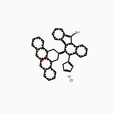 [Cl-].[Cl-].[Zr+2][C]1=c2ccccc2=c2c1c1ccccc1c(C1=CC=CC1)c2=C(Cc1cccc2ccccc12)Cc1cccc2ccccc12